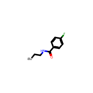 CCC(C)CCNC(=O)c1ccc(F)cc1